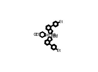 CCCCC1=Cc2c(-c3ccc(CC)cc3)cccc2[CH]1[Hf+2]1([CH]2C(CCCC)=Cc3c(-c4ccc(CC)cc4)cccc32)[CH]2CCCC[CH]21.[Cl-].[Cl-]